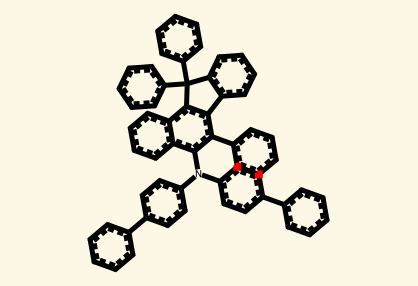 c1ccc(-c2ccc(N(c3ccc(-c4ccccc4)cc3)c3c(-c4ccccc4)c4c(c5ccccc35)C(c3ccccc3)(c3ccccc3)c3ccccc3-4)cc2)cc1